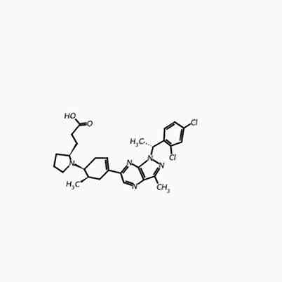 Cc1nn([C@H](C)c2ccc(Cl)cc2Cl)c2nc(C3=CC[C@H](N4CCC[C@H]4CCC(=O)O)[C@H](C)C3)cnc12